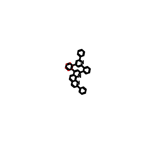 c1ccc(-c2cc(-c3ccccc3)nc(-c3ccccc3-c3cc(-c4ccccc4)c4ccc5ccc(-c6ccccc6)nc5c4n3)c2)cc1